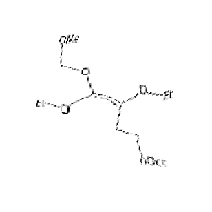 CCCCCCCCCC/C(OCC)=C(\OCC)OCOC